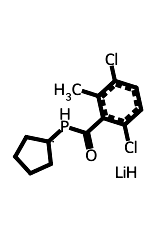 Cc1c(Cl)ccc(Cl)c1C(=O)P[C]1CCCC1.[LiH]